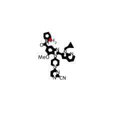 COc1cc(C(=O)N2CC3CCC2[C@@H]3N)cc2nc(-c3cc4cccnc4n3CC3CC3)n(C3CCN(c4ccnc(C#N)n4)CC3)c12